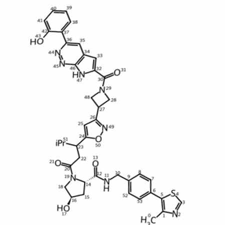 Cc1ncsc1-c1ccc(CNC(=O)[C@@H]2C[C@@H](O)CN2C(=O)CC(c2cc(C3CN(C(=O)c4cc5cc(-c6ccccc6O)nnc5[nH]4)C3)no2)C(C)C)cc1